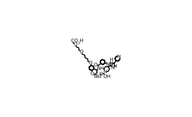 CC(C)(C)OC(O)N1CCC(Nc2cccc(C(=O)N[C@H]3CCOc4ccc(OCCCCCOCCCOCC(=O)O)cc43)c2)(c2nnc(-c3ccncc3)[nH]2)CC1